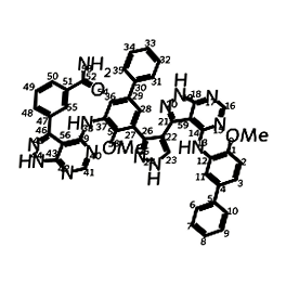 COc1ccc(-c2ccccc2)cc1Nc1ncnc2[nH]nc(-c3c[nH]nc3-c3cc(-c4ccccc4)cc(Nc4ncnc5[nH]nc(-c6cccc(C(N)=O)c6)c45)c3OC)c12